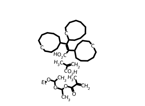 C=C(C)C(=O)O.C=C(C)C(=O)OC(C)OC(C)OCC.O=C(O)C(=C(C1CCCCCCCCC1)C1CCCCCCCCC1)C1CCCCCCCCC1